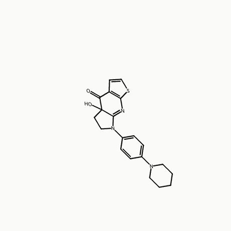 O=C1c2ccsc2N=C2N(c3ccc(N4CCCCC4)cc3)CCC12O